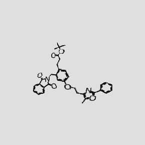 Cc1oc(-c2ccccc2)nc1CCOc1ccc(CCC(=O)OC(C)(C)C)c(CN2C(=O)c3ccccc3C2=O)c1